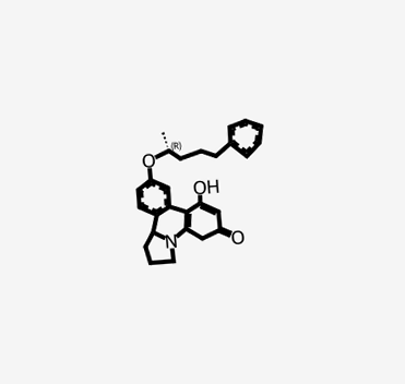 C[C@H](CCCc1ccccc1)Oc1ccc2c(c1)C1=C(CC(=O)C=C1O)N1CCCC21